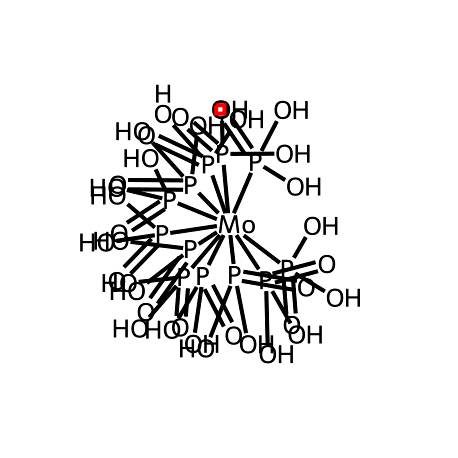 O=[P](O)(O)[Mo]([P](=O)(O)O)([P](=O)(O)O)([P](=O)(O)O)([P](=O)(O)O)([P](=O)(O)O)([P](=O)(O)O)([P](=O)(O)O)([P](=O)(O)O)([P](=O)(O)O)([P](=O)(O)O)[P](=O)(O)O